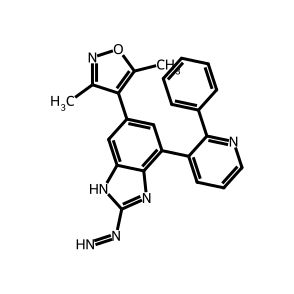 Cc1noc(C)c1-c1cc(-c2cccnc2-c2ccccc2)c2nc(N=N)[nH]c2c1